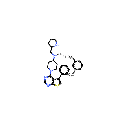 CN(CC1CCCN1)C1CCN(c2ncnc3scc(-c4ccccc4)c23)CC1.O=C(O)c1cccc(C(=O)O)c1